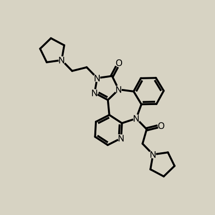 O=C(CN1CCCC1)N1c2ccccc2-n2c(nn(CCN3CCCC3)c2=O)-c2cccnc21